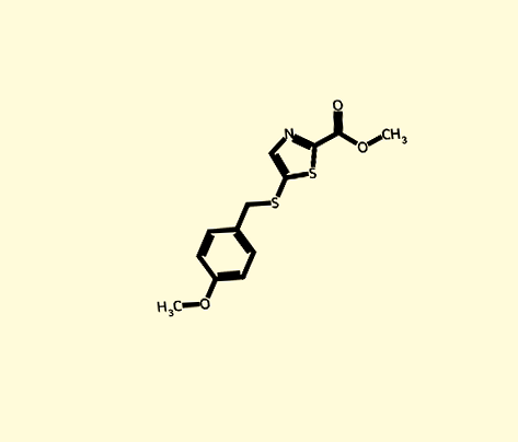 COC(=O)c1ncc(SCc2ccc(OC)cc2)s1